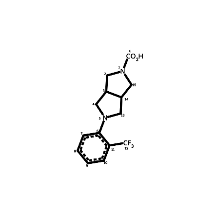 O=C(O)N1CC2CN(c3ccccc3C(F)(F)F)CC2C1